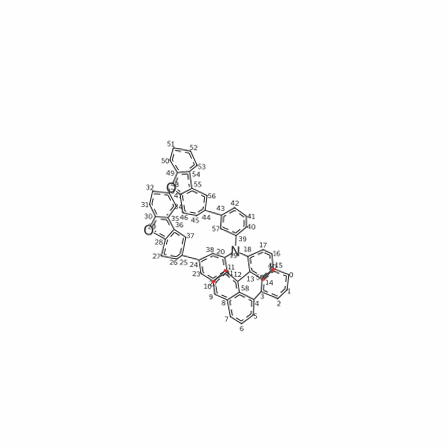 c1ccc(-c2cccc3cccc(-c4ccccc4N(c4cccc(-c5ccc6oc7ccccc7c6c5)c4)c4cccc(-c5ccc6oc7ccccc7c6c5)c4)c23)cc1